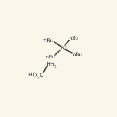 CCCC[N+](CCCC)(CCCC)CCCC.NC(=O)O